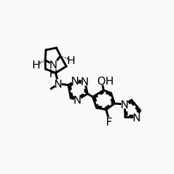 CN(c1cnc(-c2cc(F)c(-n3ccnc3)cc2O)nn1)C1C[C@H]2CC[C@@H](C1)N2